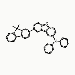 CC1(C)c2ccccc2-c2ccc(-c3ccc4sc5ccc(N(c6ccccc6)c6ccccc6)cc5c4c3)cc21